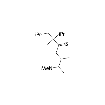 CNC(C)C(C)CC(=S)C(C)(CC(C)C)C(C)C